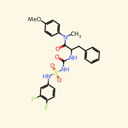 COc1ccc(N(C)C(=O)C(Cc2ccccc2)NC(=O)NS(=O)(=O)Nc2ccc(F)c(F)c2)cc1